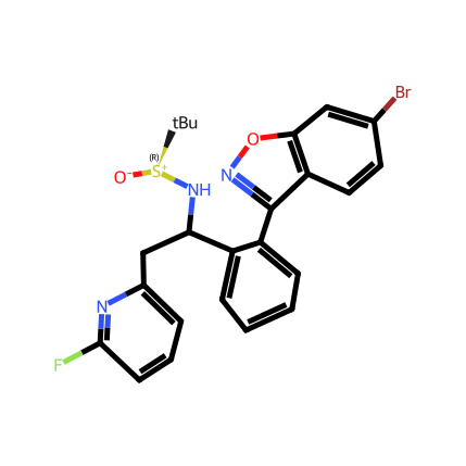 CC(C)(C)[S@+]([O-])NC(Cc1cccc(F)n1)c1ccccc1-c1noc2cc(Br)ccc12